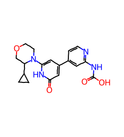 O=C(O)Nc1cc(-c2cc(N3CCOCC3C3CC3)[nH]c(=O)c2)ccn1